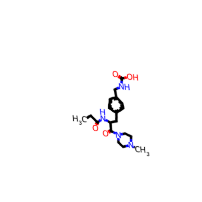 CCC(=O)NC(Cc1ccc(CNC(=O)O)cc1)C(=O)N1CCN(C)CC1